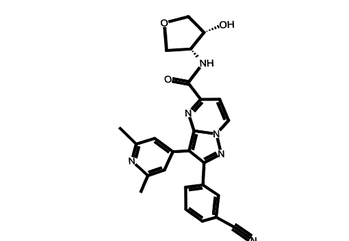 Cc1cc(-c2c(-c3cccc(C#N)c3)nn3ccc(C(=O)N[C@@H]4COC[C@@H]4O)nc23)cc(C)n1